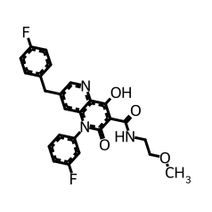 COCCNC(=O)c1c(O)c2ncc(Cc3ccc(F)cc3)cc2n(-c2cccc(F)c2)c1=O